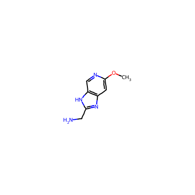 COc1cc2nc(CN)[nH]c2cn1